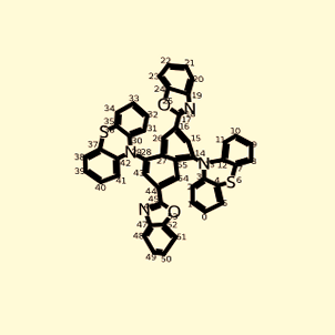 c1ccc2c(c1)Sc1ccccc1N2c1cc(-c2nc3ccccc3o2)cc2c(N3c4ccccc4Sc4ccccc43)cc(-c3nc4ccccc4o3)cc12